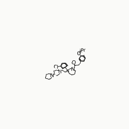 CC(C)Oc1cccc(CC(=O)N2CCCC[C@](CCN3CCC(N4CCCCC4)CC3)(c3cccc(Cl)c3)C2)c1